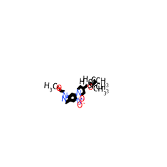 COCCn1ncc2cc([N+](=O)[O-])c(N3CCC(CO[Si](C)(C)C(C)(C)C)CC3)cc21